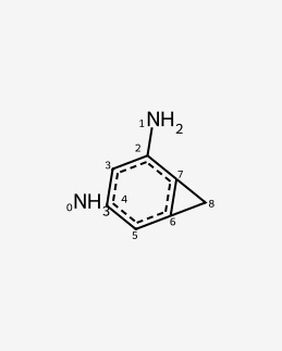 N.Nc1cccc2c1C2